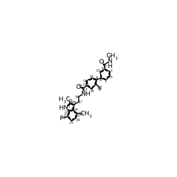 CNC(=O)c1cccc(-c2ccc(C(=O)NCCc3c(C)[nH]c4c(F)ccc(C)c34)cc2F)c1